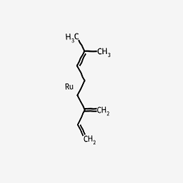 C=CC(=C)CCC=C(C)C.[Ru]